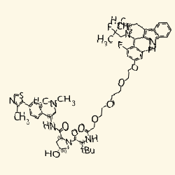 Cc1ncsc1-c1ccc([C@@H](CN(C)C)NC(=O)[C@@H]2C[C@@H](O)CN2C(=O)[C@@H](NC(=O)COCCOCCOCCOc2cc(F)c(C3c4[nH]c5ccccc5c4C[C@@H](C)N3CC(C)(C)F)c(F)c2)C(C)(C)C)cc1